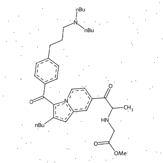 CCCCc1cc2cc(C(=O)C(C)NCC(=O)OC)ccn2c1C(=O)c1ccc(CCCN(CCCC)CCCC)cc1